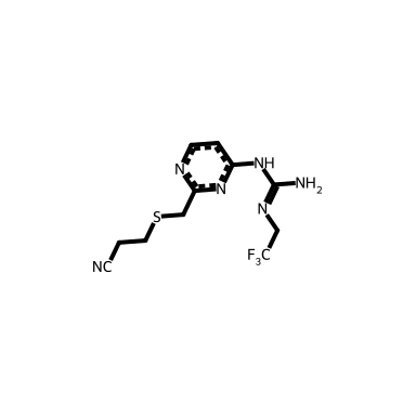 N#CCCSCc1nccc(NC(N)=NCC(F)(F)F)n1